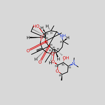 C=C1CO[C@@H]2[C@@H](C)CN[C@H](C)C[C@@](C)(OC1)[C@H](O[C@@H]1O[C@H](C)C[C@H](N(C)C)[C@H]1O)[C@@H](C)C(=O)[C@@H](C)C(=O)O[C@H](CC)[C@@]2(C)O